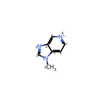 Cn1cnc2c1=CC=[N+]C=2